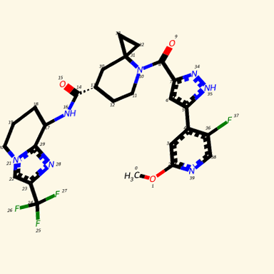 COc1cc(-c2cc(C(=O)N3CC[C@H](C(=O)NC4CCCn5cc(C(F)(F)F)nc54)CC34CC4)n[nH]2)c(F)cn1